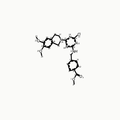 COC(=O)c1ccc(CNc2nc(Cl)nc(N3CCc4cc(OC)c(OC)cc4C3)n2)cc1